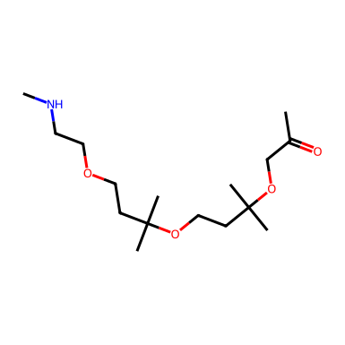 CNCCOCCC(C)(C)OCCC(C)(C)OCC(C)=O